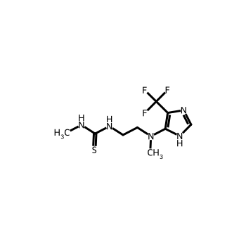 CNC(=S)NCCN(C)c1[nH]cnc1C(F)(F)F